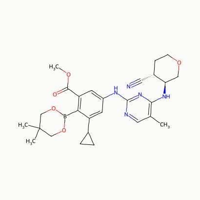 COC(=O)c1cc(Nc2ncc(C)c(N[C@@H]3COCC[C@H]3C#N)n2)cc(C2CC2)c1B1OCC(C)(C)CO1